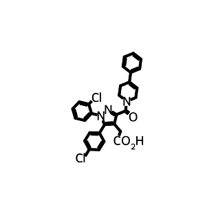 O=C(O)Cc1c(C(=O)N2CC=C(c3ccccc3)CC2)nn(-c2ccccc2Cl)c1-c1ccc(Cl)cc1